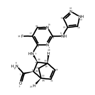 NC(=O)[C@H]1[C@@H](Nc2nc(Nc3cn[nH]c3)ncc2F)[C@@H]2C=C[C@H]1C2